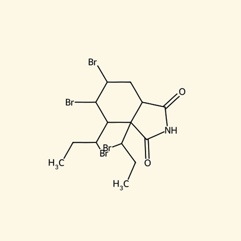 CCC(Br)C1C(Br)C(Br)CC2C(=O)NC(=O)C21C(Br)CC